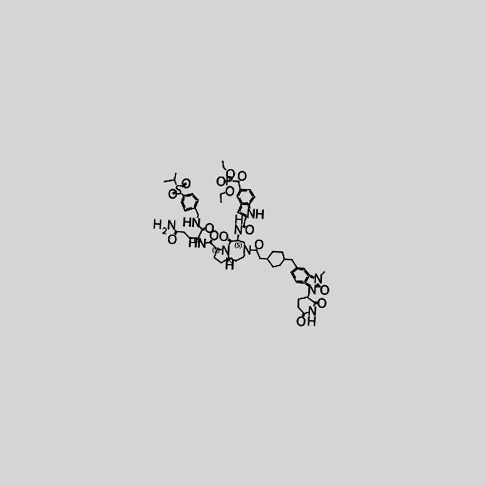 CCOP(=O)(OCC)C(=O)c1ccc2[nH]c(C(=O)N[C@H]3CN(C(=O)CC4CCC(Cc5ccc6c(c5)n(C)c(=O)n6C5CCC(=O)NC5=O)CC4)CC[C@H]4CC[C@@H](C(=O)N[C@@H](CCC(N)=O)C(=O)NCc5ccc(S(=O)(=O)C(C)C)cc5)N4C3=O)cc2c1